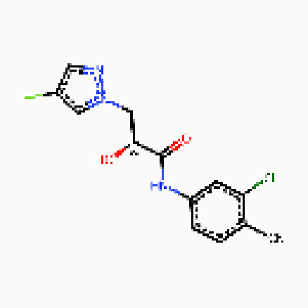 N#Cc1ccc(NC(=O)[C@@H](O)Cn2cc(F)cn2)cc1Cl